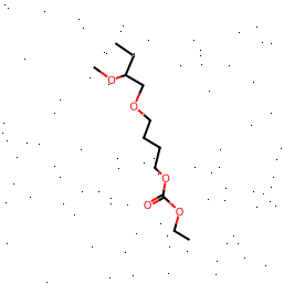 CCOC(=O)OCCCCOCC(CC)OC